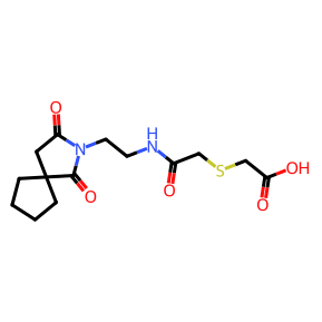 O=C(O)CSCC(=O)NCCN1C(=O)CC2(CCCC2)C1=O